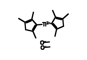 CC1=C(C)[C]([Ti+2][C]2=C(C)CC(C)=C2C)=C(C)C1.C[O-].C[O-]